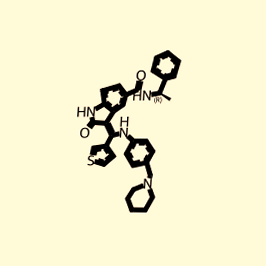 C[C@@H](NC(=O)c1ccc2c(c1)C(=C(Nc1ccc(CN3CCCCC3)cc1)c1ccsc1)C(=O)N2)c1ccccc1